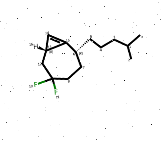 CC(C)CCC[C@@H]1CCC(F)(F)C[C@@H]2C=C12